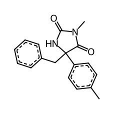 Cc1ccc(C2(Cc3ccccc3)NC(=O)N(C)C2=O)cc1